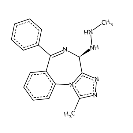 CNN[C@@H]1N=C(c2ccccc2)c2ccccc2-n2c(C)nnc21